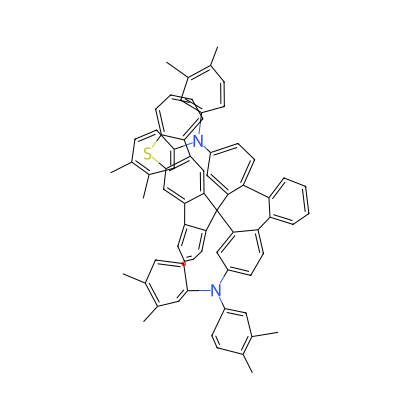 Cc1ccc(N(c2ccc(C)c(C)c2)c2ccc3c(c2)C2(c4cc(N(c5ccc(C)c(C)c5)c5ccc(C)c(C)c5)ccc4-c4ccccc4-3)c3ccccc3-c3cc4sc5ccccc5c4cc32)cc1C